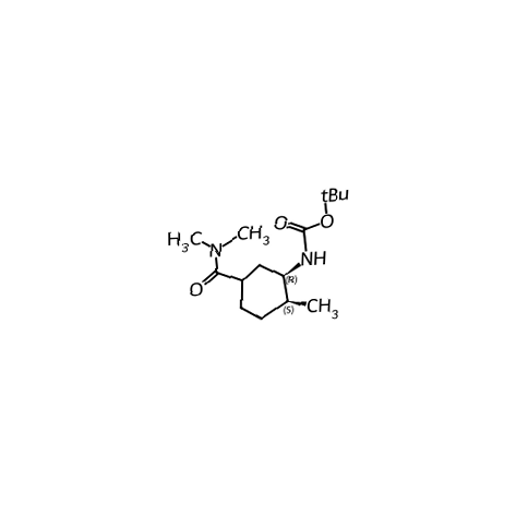 C[C@H]1CCC(C(=O)N(C)C)C[C@H]1NC(=O)OC(C)(C)C